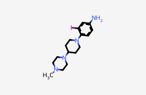 CN1CCN(C2CCN(c3ccc(N)cc3I)CC2)CC1